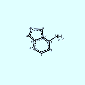 Nc1ccnn2cncc12